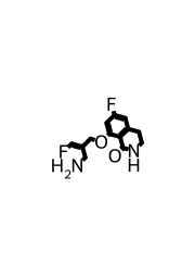 NC/C(=C\F)COc1cc(F)cc2c1C(=O)NCC2